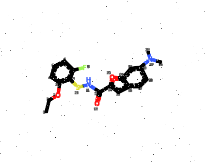 CCOc1cccc(F)c1SNC(=O)c1cc2ccc(N(C)C)cc2o1